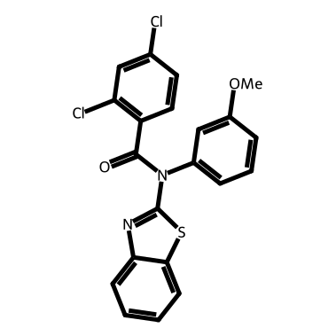 COc1cccc(N(C(=O)c2ccc(Cl)cc2Cl)c2nc3ccccc3s2)c1